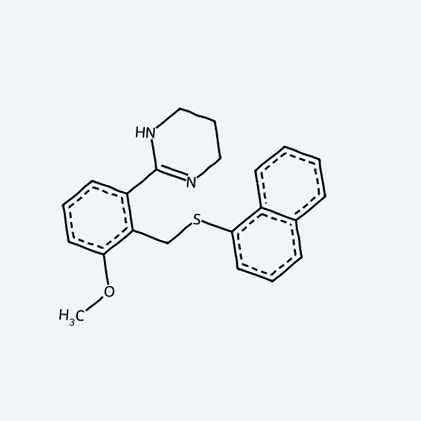 COc1cccc(C2=NCCCN2)c1CSc1cccc2ccccc12